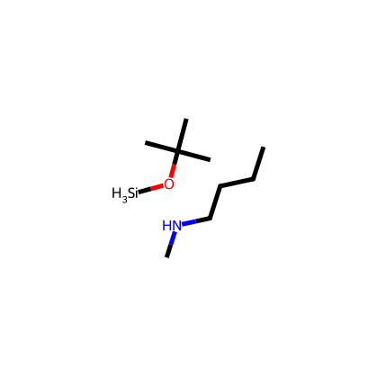 CC(C)(C)O[SiH3].CCCCNC